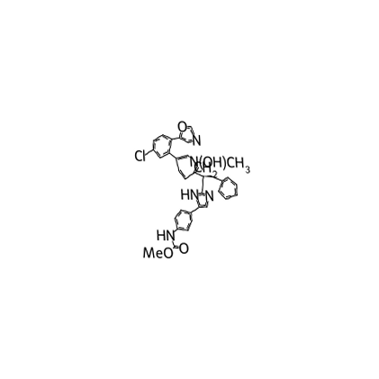 C=C(/C=C\C(=C/N(C)O)c1cc(Cl)ccc1-c1cnco1)[C@@H](Cc1ccccc1)c1ncc(-c2ccc(NC(=O)OC)cc2)[nH]1